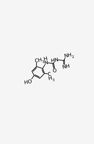 Cc1cc(O)cc(C)c1NC(=O)NC(=N)N